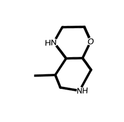 CC1CNCC2OCCNC12